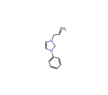 C=CCN1C=CN(c2ccccc2)C1